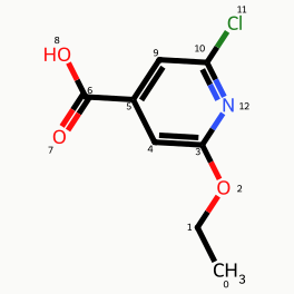 CCOc1cc(C(=O)O)cc(Cl)n1